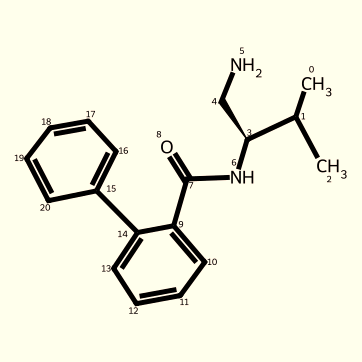 CC(C)[C@H](CN)NC(=O)c1ccccc1-c1ccccc1